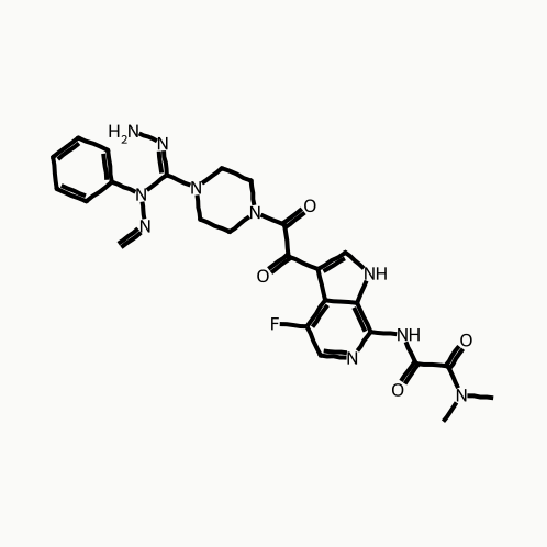 C=NN(/C(=N\N)N1CCN(C(=O)C(=O)c2c[nH]c3c(NC(=O)C(=O)N(C)C)ncc(F)c23)CC1)c1ccccc1